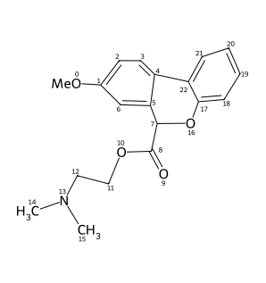 COc1ccc2c(c1)C(C(=O)OCCN(C)C)Oc1ccccc1-2